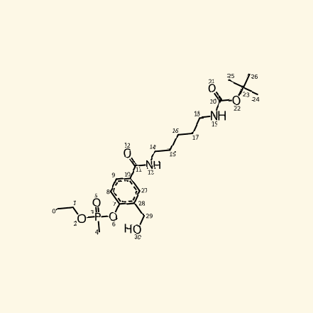 CCOP(C)(=O)Oc1ccc(C(=O)NCCCCCNC(=O)OC(C)(C)C)cc1CO